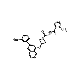 Cn1nccc1C(=O)NCC(=O)N1CC(Oc2cc(-c3cccc(C#N)c3)cc3ccncc23)C1